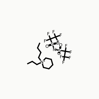 CCCC[N+]1(CCC)CCCCC1.O=S(=O)([N-]S(=O)(=O)C(F)(F)C(F)(F)F)C(F)(F)C(F)(F)F